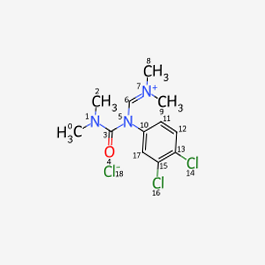 CN(C)C(=O)N(C=[N+](C)C)c1ccc(Cl)c(Cl)c1.[Cl-]